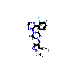 Cc1c(CN2CCN(c3nccnc3-c3cccc(F)c3F)CC2)cnn1C